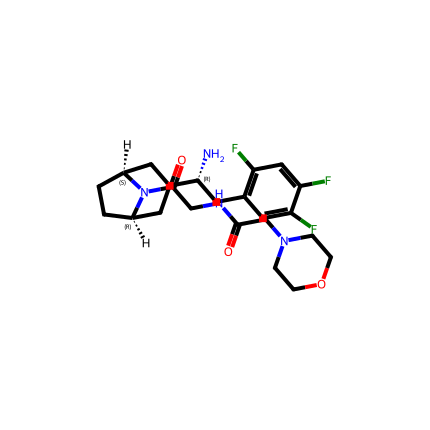 N[C@H](Cc1cc(F)c(F)cc1F)C1C[C@H]2CC[C@@H](C1)N2C(=O)CNC(=O)CN1CCOCC1